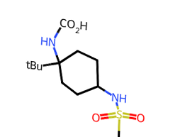 CC(C)(C)C1(NC(=O)O)CCC(NS(C)(=O)=O)CC1